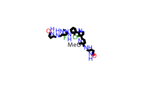 COc1nc(-c2ccnc(-c3cccc(Nc4ncnc(CNCC5CCC(=O)N5)c4F)c3C)c2Cl)ccc1CNCC1CCC(=O)N1